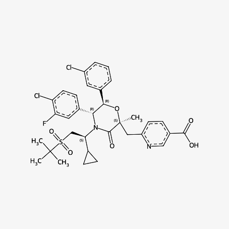 CC(C)(C)S(=O)(=O)C[C@H](C1CC1)N1C(=O)[C@](C)(Cc2ccc(C(=O)O)cn2)O[C@H](c2cccc(Cl)c2)[C@H]1c1ccc(Cl)c(F)c1